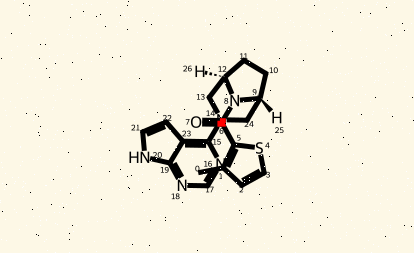 Cc1ccsc1C(=O)N1[C@@H]2CC[C@@H]1CN(c1ncnc3[nH]ccc13)C2